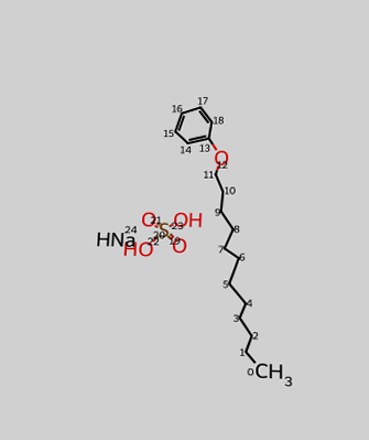 CCCCCCCCCCCCOc1ccccc1.O=S(=O)(O)O.[NaH]